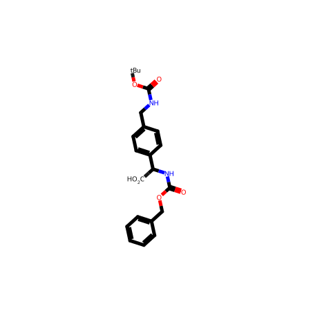 CC(C)(C)OC(=O)NCc1ccc(C(NC(=O)OCc2ccccc2)C(=O)O)cc1